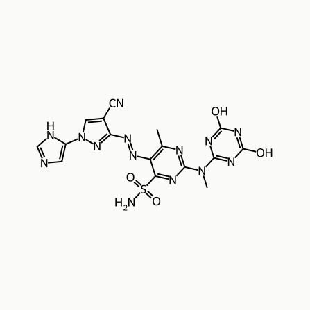 Cc1nc(N(C)c2nc(O)nc(O)n2)nc(S(N)(=O)=O)c1N=Nc1nn(-c2cnc[nH]2)cc1C#N